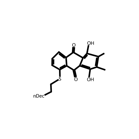 CCCCCCCCCCCCSc1cccc2c1C(=O)c1c(O)c(C)c(C)c(O)c1C2=O